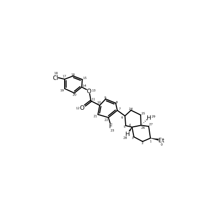 CC[C@H]1CC[C@@H]2CC(c3ccc(C(=O)Oc4ccc(Cl)cc4)cc3F)CC[C@H]2C1